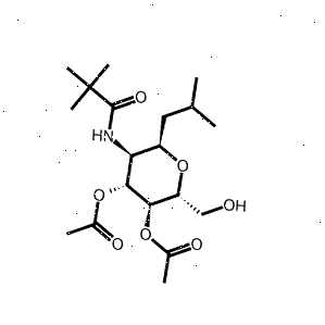 CC(=O)O[C@@H]1[C@@H](NC(=O)C(C)(C)C)[C@@H](CC(C)C)O[C@H](CO)[C@H]1OC(C)=O